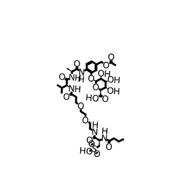 CCCC(=O)N[C@@H](CS(=O)(=O)O)C(=O)NCCOCCOCCC(=O)N[C@H](C(=O)N[C@@H](C)C(=O)Nc1ccc(COC(C)=O)cc1O[C@@H]1O[C@H](C(=O)O)[C@@H](O)[C@H](O)[C@H]1O)C(C)C